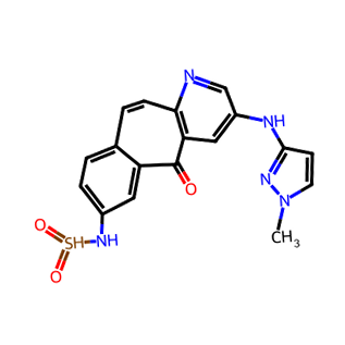 Cn1ccc(Nc2cnc3ccc4ccc(N[SH](=O)=O)cc4c(=O)c3c2)n1